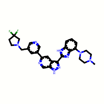 CN1CCN(c2cccc3[nH]c(-c4n[nH]c5cnc(-c6cncc(CN7CCC(F)(F)C7)c6)cc45)nc23)CC1